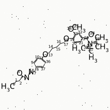 CCCC(=O)N=NCc1ccc(OCCCCCOc2ccc(C(=O)N(C(C)C)C(C)C)cc2OC)cc1